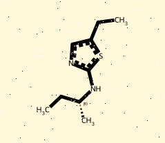 CCc1cnc(N[C@H](C)CC)s1